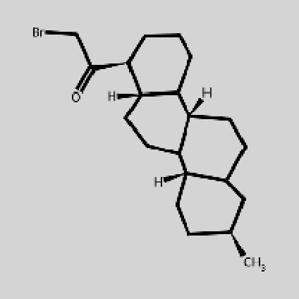 C[C@H]1CC[C@H]2C(CC[C@@H]3C2CC[C@H]2C3CCC[C@@H]2C(=O)CBr)C1